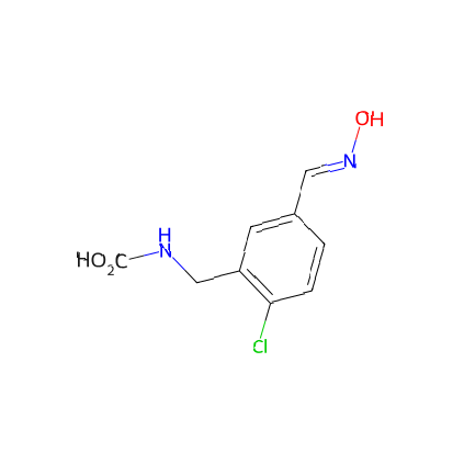 O=C(O)NCc1cc(/C=N/O)ccc1Cl